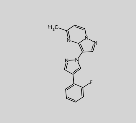 Cc1ccn2ncc(-n3cc(-c4ccccc4F)cn3)c2n1